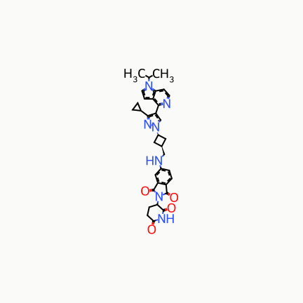 CC(C)n1ccc2c(-c3cn([C@H]4C[C@H](CNc5ccc6c(c5)C(=O)N(C5CCC(=O)NC5=O)C6=O)C4)nc3C3CC3)nccc21